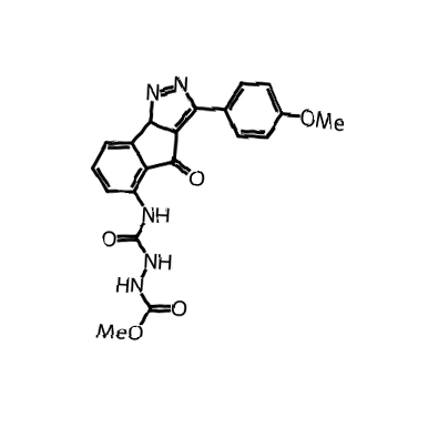 COC(=O)NNC(=O)Nc1cccc2c1C(=O)C1=C(c3ccc(OC)cc3)N=NC12